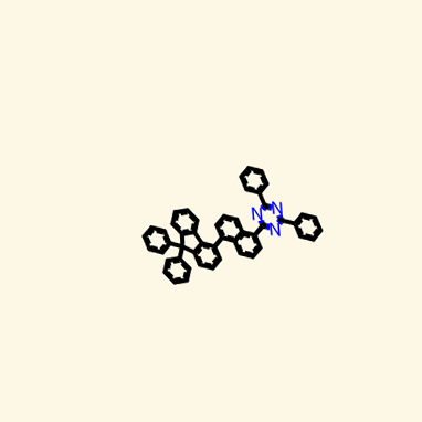 c1ccc(-c2nc(-c3ccccc3)nc(-c3cccc4c(-c5cccc6c5-c5ccccc5C6(c5ccccc5)c5ccccc5)cccc34)n2)cc1